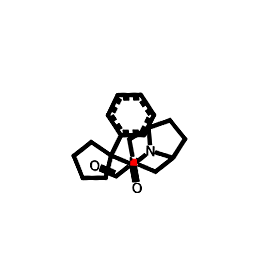 O=CN1CC2CCC(C1)N2C(=O)C1(c2ccccc2)CCCC1